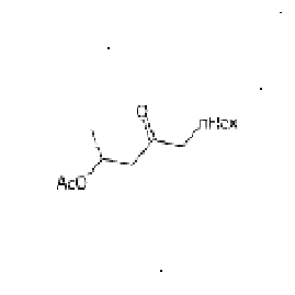 CCCCCCCC(=O)CC(C)OC(C)=O